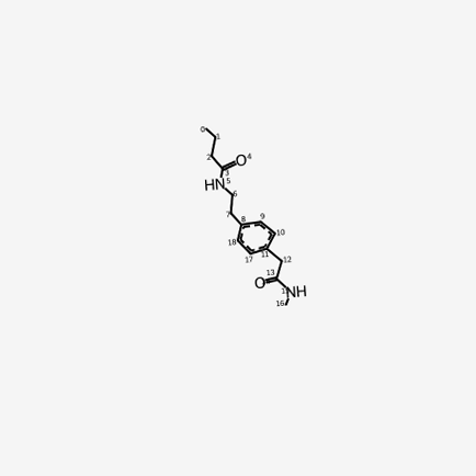 CCCC(=O)NCCc1ccc(CC(=O)NC)cc1